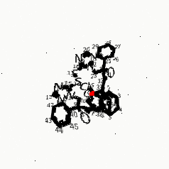 Clc1ccccc1C1OC1(Cn1ncnc1SSc1ncnn1CC1(c2ccccc2)OC1c1ccccc1Cl)c1ccccc1